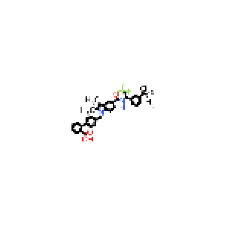 Cc1c(C)n(Cc2ccc(-c3ccccc3C(=O)O)cc2)c2ccc(C(=O)NC(c3cccc(C(C)C)c3)C(F)(F)F)cc12